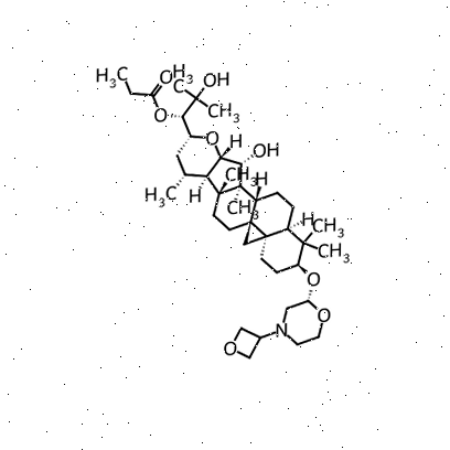 CCC(=O)O[C@@H]([C@H]1C[C@@H](C)[C@H]2[C@H](O1)[C@H](O)[C@@]1(C)[C@@H]3CC[C@H]4C(C)(C)[C@@H](O[C@H]5CN(C6COC6)CCO5)CC[C@@]45C[C@@]35CC[C@]21C)C(C)(C)O